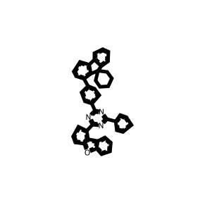 c1ccc(-c2nc(-c3ccc(-c4cccc5c4C4(CCCCC4)c4ccccc4-5)cc3)nc(-c3cccc4oc5ccccc5c34)n2)cc1